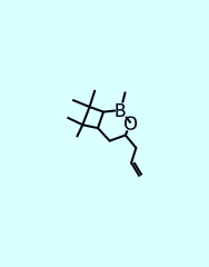 C=CCC1CC2C(B(C)O1)C(C)(C)C2(C)C